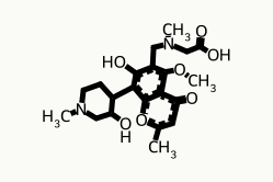 COc1c(CN(C)CC(=O)O)c(O)c(C2CCN(C)CC2O)c2oc(C)cc(=O)c12